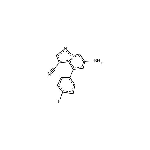 Bc1cc(-c2ccc(F)cc2)c2c(C#N)cnn2c1